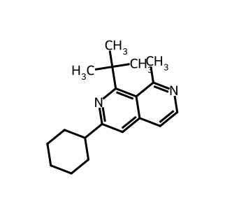 Cc1nccc2cc(C3CCCCC3)nc(C(C)(C)C)c12